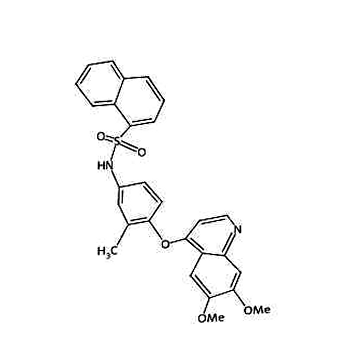 COc1cc2nccc(Oc3ccc(NS(=O)(=O)c4cccc5ccccc45)cc3C)c2cc1OC